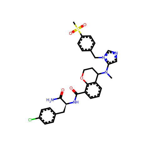 CN(c1cncn1Cc1ccc(S(C)(=O)=O)cc1)C1CCOc2c(C(=O)N[C@@H](Cc3ccc(Cl)cc3)C(N)=O)cccc21